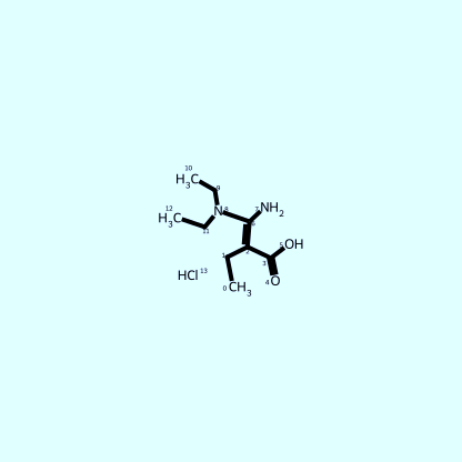 CCC(C(=O)O)=C(N)N(CC)CC.Cl